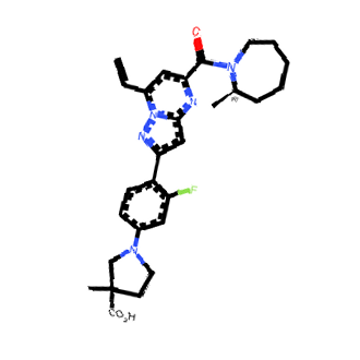 C=Cc1cc(C(=O)N2CCCCC[C@H]2C)nc2cc(-c3ccc(N4CCC(C)(C(=O)O)C4)cc3F)nn12